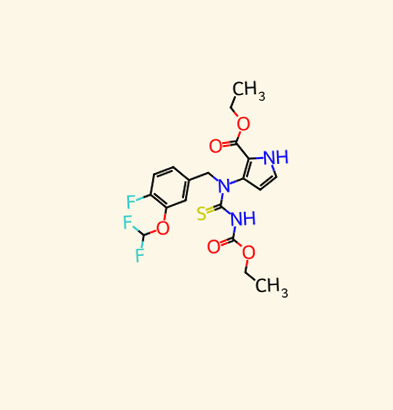 CCOC(=O)NC(=S)N(Cc1ccc(F)c(OC(F)F)c1)c1cc[nH]c1C(=O)OCC